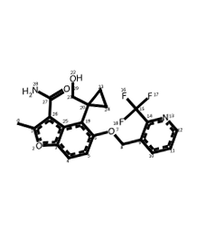 Cc1oc2ccc(OCc3cccnc3C(F)(F)F)c(C3(CO)CC3)c2c1C(N)=O